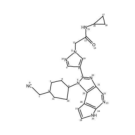 N#CCC1CCC(n2c(-c3cnn(CC(=O)NC4CC4)c3)nc3cnc4[nH]ccc4c32)CC1